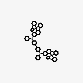 c1ccc(N(c2ccc(-c3ccc(N(c4ccccc4)c4ccc5c6c(ccc5c4)-c4ccccc4C64c5ccccc5-c5ccccc54)cc3)cc2)c2ccc3c4c(ccc3c2)-c2ccccc2C42c3ccccc3-c3ccccc32)cc1